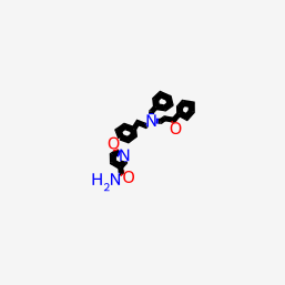 NC(=O)c1ccc(Oc2ccc(CCN(CCC(=O)c3ccccc3)Cc3ccccc3)cc2)nc1